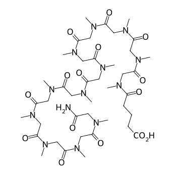 CN(CC(N)=O)C(=O)CN(C)C(=O)CN(C)C(=O)CN(C)C(=O)CN(C)C(=O)CN(C)C(=O)CN(C)C(=O)CN(C)C(=O)CN(C)C(=O)CN(C)C(=O)CN(C)C(=O)CN(C)C(=O)CCCC(=O)O